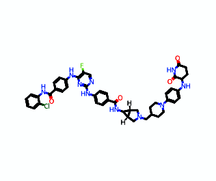 O=C1CCC(Nc2ccc(N3CCC(CN4C[C@@H]5C(NC(=O)c6ccc(Nc7ncc(F)c(Nc8ccc(C(=O)Nc9ccccc9Cl)cc8)n7)cc6)[C@@H]5C4)CC3)cc2)C(=O)N1